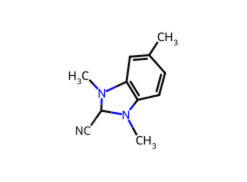 Cc1ccc2c(c1)N(C)C(C#N)N2C